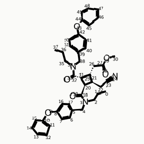 CCCN(Cc1ccc(Oc2ccccc2)cc1)C(=O)[C@@H]1[C@H](CC#N)[C@@H](CC(=O)OC)[C@H]1C(=O)N(CCC)Cc1ccc(Oc2ccccc2)cc1